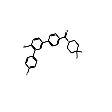 O=C(c1ccc(-c2ccc(Br)c(-c3ccc(F)cc3)c2)cc1)N1CCC(F)(F)CC1